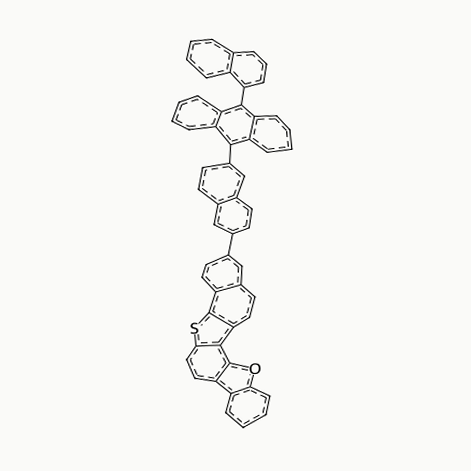 c1ccc2c(-c3c4ccccc4c(-c4ccc5cc(-c6ccc7c(ccc8c7sc7ccc9c%10ccccc%10oc9c78)c6)ccc5c4)c4ccccc34)cccc2c1